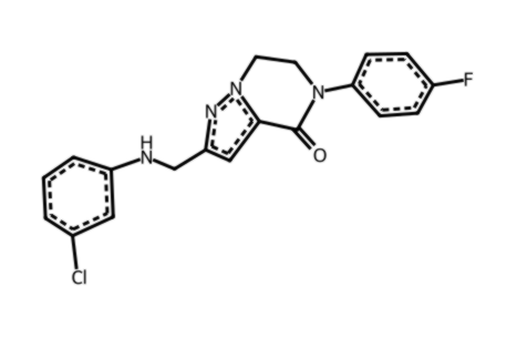 O=C1c2cc(CNc3cccc(Cl)c3)nn2CCN1c1ccc(F)cc1